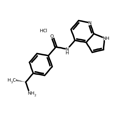 C[C@@H](N)c1ccc(C(=O)Nc2ccnc3[nH]ccc23)cc1.Cl